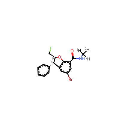 [2H]C([2H])([2H])NC(=O)c1cc(Br)cc2c1O[C@H](CF)[C@H]2c1ccccc1